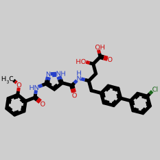 COc1ccccc1C(=O)Nc1cc(C(=O)NC(Cc2ccc(-c3cccc(Cl)c3)cc2)CC(O)C(=O)O)[nH]n1